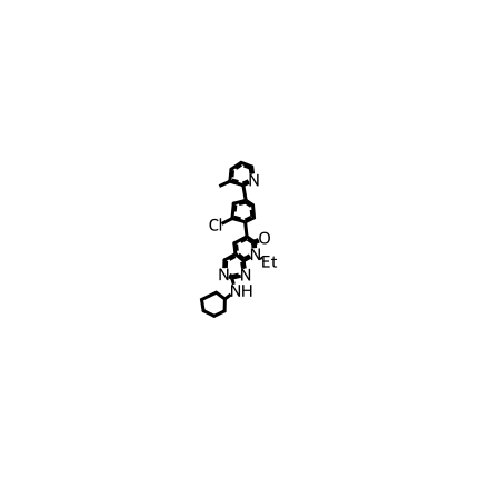 CCn1c(=O)c(-c2ccc(-c3ncccc3C)cc2Cl)cc2cnc(NC3CCCCC3)nc21